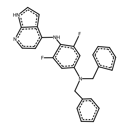 Fc1cc(N(Cc2ccccc2)Cc2ccccc2)cc(F)c1Nc1ccnc2[nH]ccc12